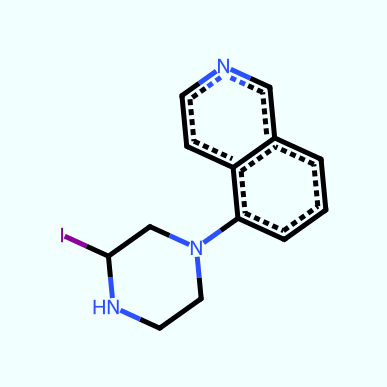 IC1CN(c2cccc3cnccc23)CCN1